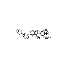 COc1cc(-c2[nH]c3ccc(C4CN(C5CCOCC5)CCO4)nc3c2C(C)C)cn2ncnc12